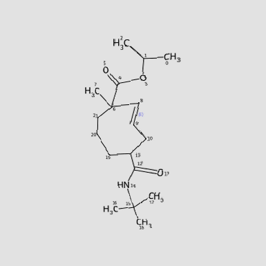 CC(C)OC(=O)C1(C)/C=C/CC(C(=O)NC(C)(C)C)CCC1